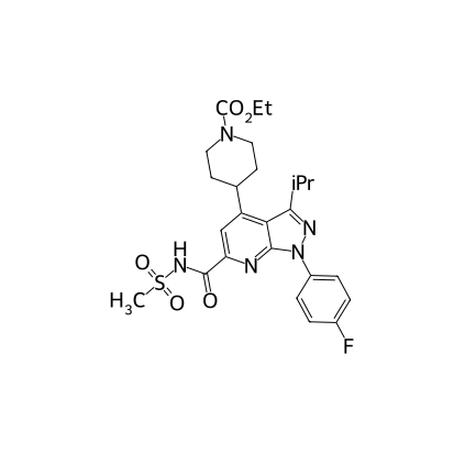 CCOC(=O)N1CCC(c2cc(C(=O)NS(C)(=O)=O)nc3c2c(C(C)C)nn3-c2ccc(F)cc2)CC1